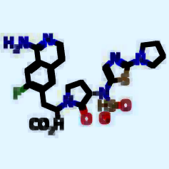 Nc1nccc2cc(C[C@H](C(=O)O)N3CC[C@H](N(c4cnc(N5CCCC5)s4)[SH](=O)=O)C3=O)c(F)cc12